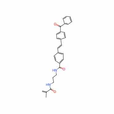 C=C(C)C(=O)NCCCNC(=O)c1ccc(C=Cc2ccc(C(=O)c3ccccc3)cc2)cc1